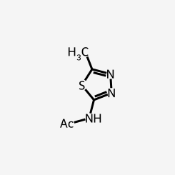 [CH2]C(=O)Nc1nnc(C)s1